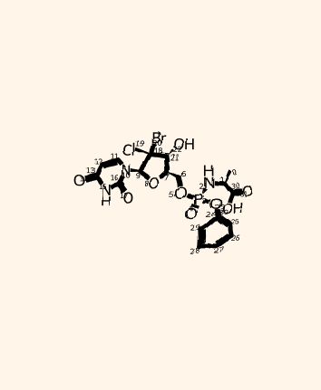 C[C@H](N[P@@](=O)(OC[C@H]1O[C@@H](n2ccc(=O)[nH]c2=O)[C@](Cl)(Br)[C@@H]1O)Oc1ccccc1)C(=O)O